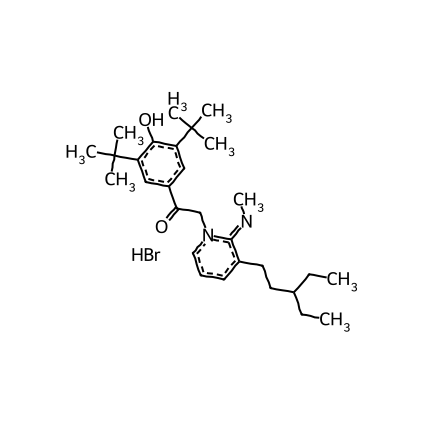 Br.CCC(CC)CCc1cccn(CC(=O)c2cc(C(C)(C)C)c(O)c(C(C)(C)C)c2)c1=NC